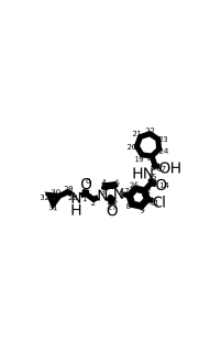 O=C(Cn1ccn(-c2ccc(Cl)c(C(=O)NC(O)C3CCCCCC3)c2)c1=O)NCC1CC1